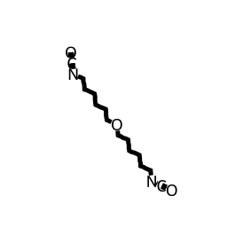 O=C=NCCCCCCOCCCCCCN=C=O